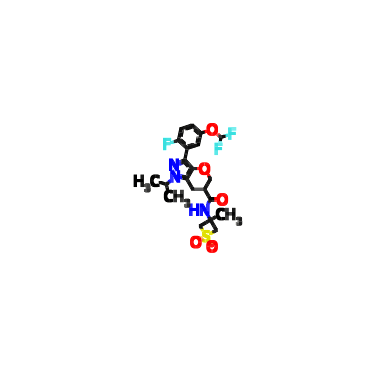 CC(C)n1nc(-c2cc(OC(F)F)ccc2F)c2c1CC(C(=O)NC1(C)CS(=O)(=O)C1)CO2